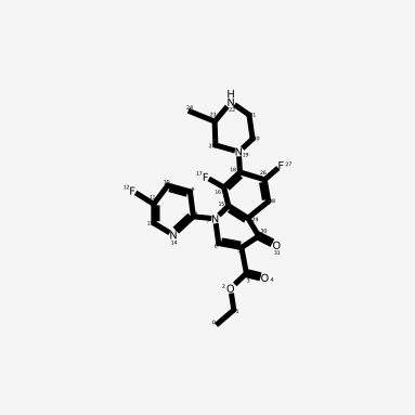 CCOC(=O)c1cn(-c2ccc(F)cn2)c2c(F)c(N3CCNC(C)C3)c(F)cc2c1=O